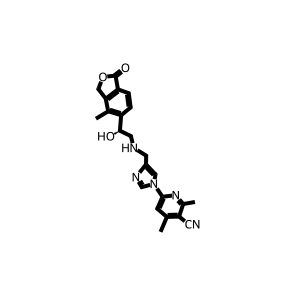 Cc1cc(-n2cnc(CNC[C@H](O)c3ccc4c(c3C)COC4=O)c2)nc(C)c1C#N